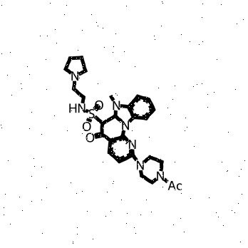 CC(=O)N1CCN(c2ccc3c(n2)N2c4ccccc4N(C)C2C(S(=O)(=O)NCCN2CCCC2)C3=O)CC1